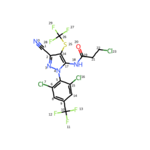 N#Cc1nn(-c2c(Cl)cc(C(F)(F)F)cc2Cl)c(NC(=O)CCCl)c1SC(F)(F)F